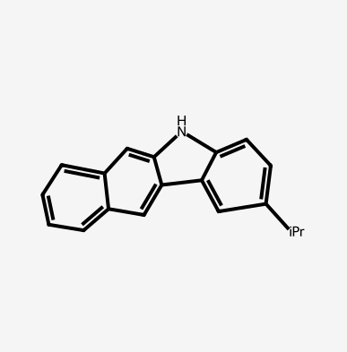 CC(C)c1ccc2[nH]c3cc4ccccc4cc3c2c1